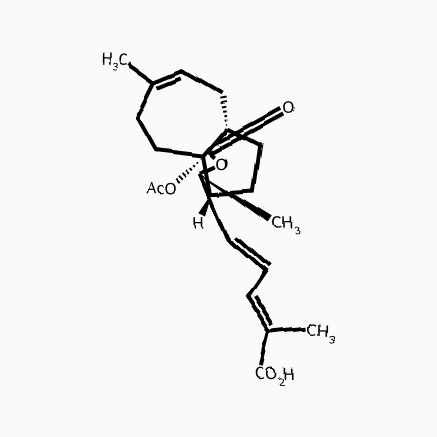 CC(=O)O[C@]12CCC(C)=CC[C@]13CC[C@H]2[C@@](C)(/C=C/C=C(\C)C(=O)O)OC3=O